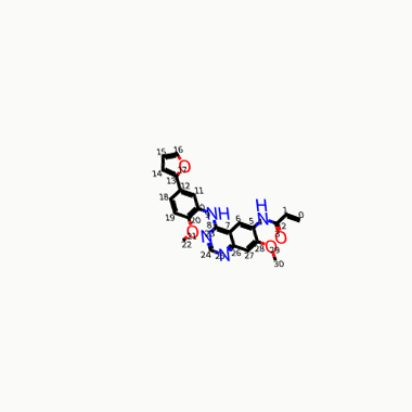 C=CC(=O)Nc1cc2c(Nc3cc(-c4ccco4)ccc3OC)ncnc2cc1OC